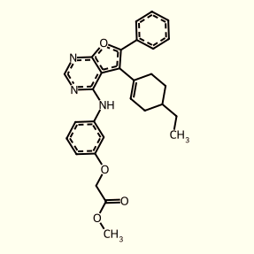 CCC1CC=C(c2c(-c3ccccc3)oc3ncnc(Nc4cccc(OCC(=O)OC)c4)c23)CC1